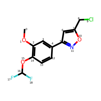 COc1cc(-c2cc(CCl)on2)ccc1OC(F)F